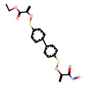 C=C(OSc1ccc(-c2ccc(SOC(=C)C(=O)OCC)cc2)cc1)C(=O)N=O